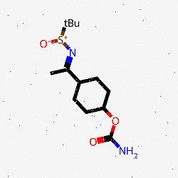 C/C(=N\[S+]([O-])C(C)(C)C)C1CCC(OC(N)=O)CC1